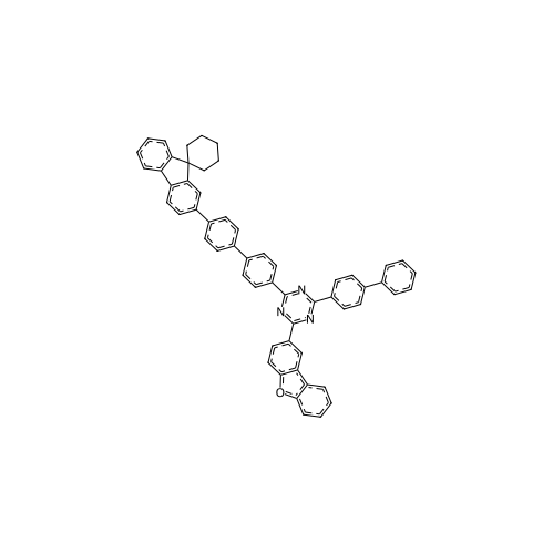 c1ccc(-c2ccc(-c3nc(-c4ccc(-c5ccc(-c6ccc7c(c6)C6(CCCCC6)c6ccccc6-7)cc5)cc4)nc(-c4ccc5oc6ccccc6c5c4)n3)cc2)cc1